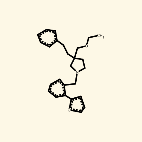 CCOCC1(CCc2ccccc2)CCN(Cc2ccccc2-c2ccco2)C1